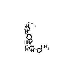 Cc1cccc(-c2cc(-c3cc4ccc(CN5CCN(C)CC5)cc4[nH]3)c(=O)[nH]n2)c1